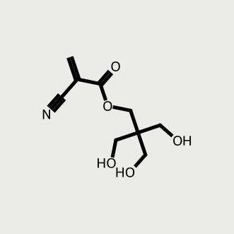 C=C(C#N)C(=O)OCC(CO)(CO)CO